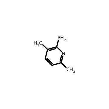 Cc1ccc(C)c(P)n1